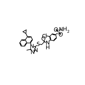 Cc1nnc(SCC(=O)Nc2ccc(S(N)(=O)=O)cc2Cl)n1-c1ccc(C2CC2)c2ccccc12